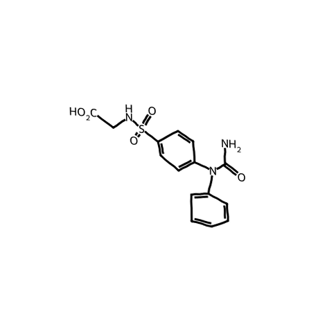 NC(=O)N(c1ccccc1)c1ccc(S(=O)(=O)NCC(=O)O)cc1